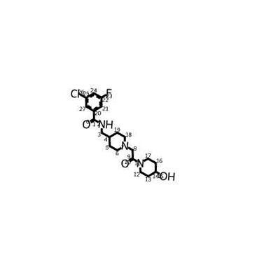 O=C(NCC1CCN(CC(=O)N2CCC(O)CC2)CC1)c1cc(F)cc(Cl)c1